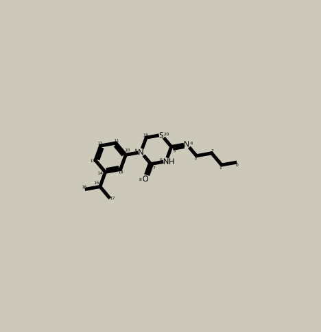 CCCCN=C1NC(=O)N(c2cccc(C(C)C)c2)CS1